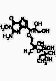 CCC(C)(O)P(=O)(O)OC(C)(C)CCO[C@H]([C@H](O)CO)n1cnc2c(=O)n(C)c(N)nc21